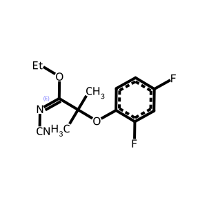 CCO/C(=N/C#N)C(C)(C)Oc1ccc(F)cc1F